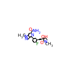 CN1CC[C@@](O)(C#Cc2cc(-c3nc(C(N)=O)cc4c3cnn4C)ccc2F)C1=O